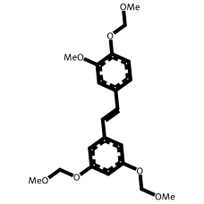 COCOc1cc(C=Cc2ccc(OCOC)c(OC)c2)cc(OCOC)c1